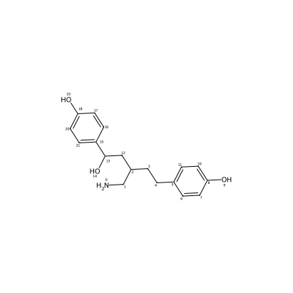 NCC(CCc1ccc(O)cc1)CC(O)c1ccc(O)cc1